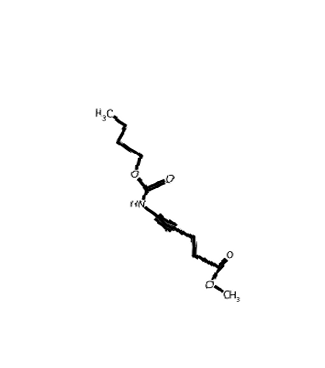 CCCCOC(=O)NC#CCCC(=O)OC